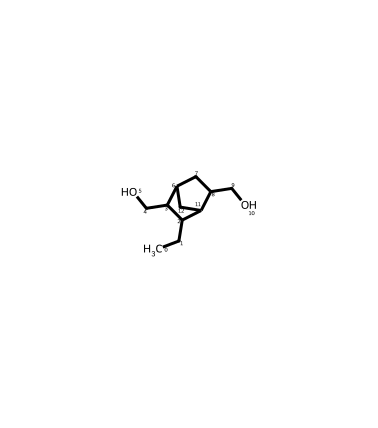 CCC1C(CO)C2CC(CO)C1C2